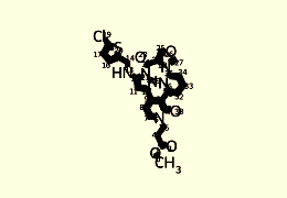 COC(=O)CCn1ccc(-c2cc(NCc3ccc(Cl)s3)n(C(=O)c3cocn3)n2)c(-c2ccccn2)c1=O